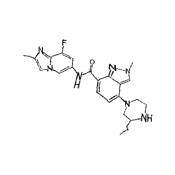 CCC1CN(c2ccc(C(=O)Nc3cc(F)c4nc(C)cn4c3)c3nn(C)cc23)CCN1